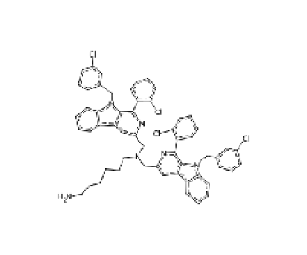 NCCCCCCN(Cc1cc2c3ccccc3n(Cc3cccc(Cl)c3)c2c(-c2ccccc2Cl)n1)Cc1cc2c3ccccc3n(Cc3cccc(Cl)c3)c2c(-c2ccccc2Cl)n1